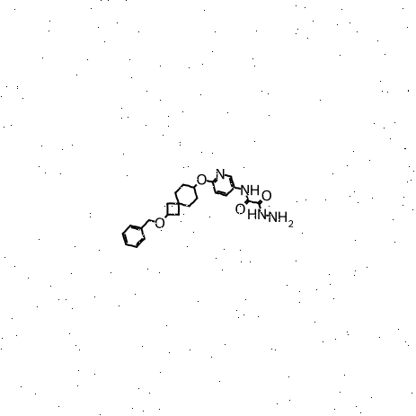 NNC(=O)C(=O)Nc1ccc(OC2CCC3(CC2)CC(OCc2ccccc2)C3)nc1